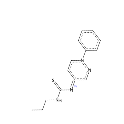 CCCNC(=S)/N=c1\ccn(-c2ccccc2)nc1